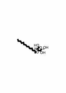 CCCCCCCCCCCC[CH]C(C)O[C@@H]1[C@@H](N)[C@@H](O)O[C@H](CO)[C@H]1O